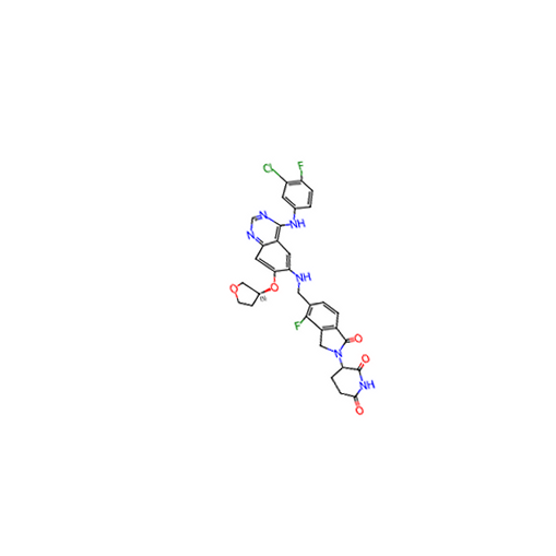 O=C1CCC(N2Cc3c(ccc(CNc4cc5c(Nc6ccc(F)c(Cl)c6)ncnc5cc4O[C@H]4CCOC4)c3F)C2=O)C(=O)N1